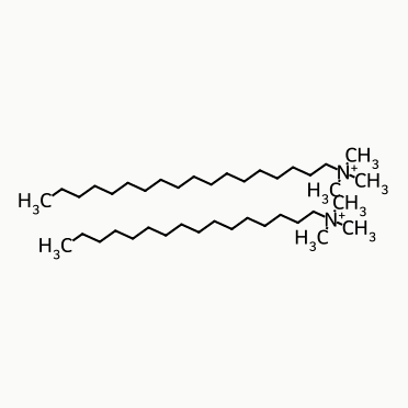 CCCCCCCCCCCCCCCCCC[N+](C)(C)C.CCCCCCCCCCCCCCCC[N+](C)(C)C